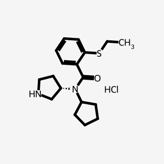 CCSc1ccccc1C(=O)N(C1CCCC1)[C@H]1CCNC1.Cl